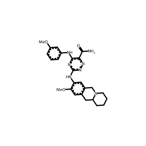 COc1cccc(Nc2nc(Nc3cc4c(cc3OC)CC3CCCCN3C4)nnc2C(N)=O)c1